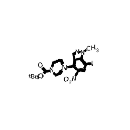 Cn1ncc2c(N3CCN(C(=O)OC(C)(C)C)CC3)c([N+](=O)[O-])cc(I)c21